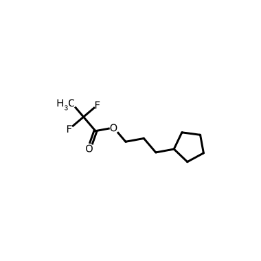 CC(F)(F)C(=O)OCCCC1CCCC1